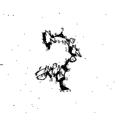 Cc1ccnc([C@H]2C[C@@H]2C(=O)Nc2cc(OCc3cn4cc(C5CC5)cc(N5CC(=O)NC5=O)c4n3)ncn2)n1